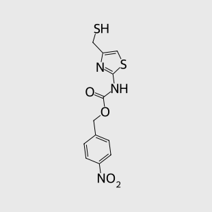 O=C(Nc1nc(CS)cs1)OCc1ccc([N+](=O)[O-])cc1